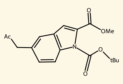 COC(=O)c1cc2cc(CC(C)=O)ccc2n1C(=O)OC(C)(C)C